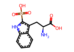 N[C@@H](Cc1c(S(=O)(=O)O)[nH]c2ccccc12)C(=O)O